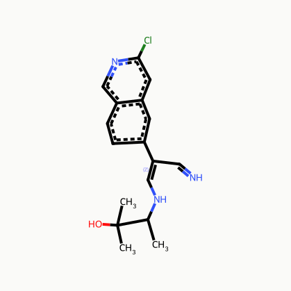 CC(N/C=C(\C=N)c1ccc2cnc(Cl)cc2c1)C(C)(C)O